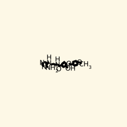 COc1ccc(COc2ccc(C(=O)NCCCNc3cncnc3N)cc2O)cc1